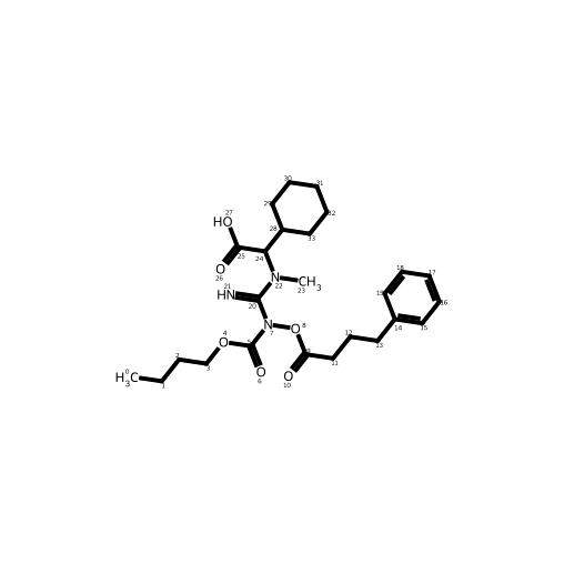 CCCCOC(=O)N(OC(=O)CCCc1ccccc1)C(=N)N(C)C(C(=O)O)C1CCCCC1